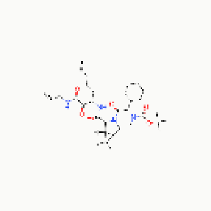 C=CCCCC(NC(=O)[C@@H]1[C@@H]2C(CN1C(=O)[C@H](C1CCCCC1)N(C)C(=O)OC(C)(C)C)C2(C)C)C(=O)C(=O)NCC=C